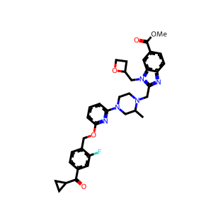 COC(=O)c1ccc2nc(CN3CCN(c4cccc(OCc5ccc(C(=O)C6CC6)cc5F)n4)CC3C)n(CC3CCO3)c2c1